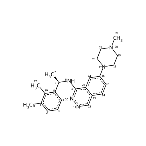 Cc1cccc([C@@H](C)Nc2nncc3ccc(N4CCN(C)CC4)cc23)c1C